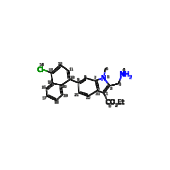 CCOC(=O)c1c(CN)n(C)c2cc(-c3ccc(Cl)c4ccccc34)ccc12